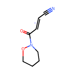 N#C/C=C/C(=O)N1CCCCO1